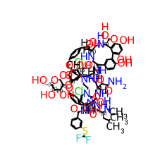 CN[C@@H](CC(C)C)C(=O)N[C@H]1C(=O)N[C@@H](CC(N)=O)C(=O)NC2C(=O)N[C@@H]3C(=O)N[C@@H](C(=O)N[C@@H](C(=O)O)c4cc(O)cc(O)c4-c4cc3ccc4O)[C@H](O)c3ccc(c(Cl)c3)Oc3cc2cc(c3OC2O[C@@H](CO)[C@@H](O)[C@@H](O)[C@H]2O[C@H]2CC(C)(NCCn3ccc(NC(=O)c4cccc(SC(F)F)c4)nc3=O)[C@@H](O)C(C)O2)Oc2ccc(cc2Cl)[C@H]1O